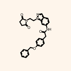 O=C(Cc1ccc(OCc2ccccc2)cc1)Nc1ccc2cnn(CCN3C(=O)CCC3=O)c2c1